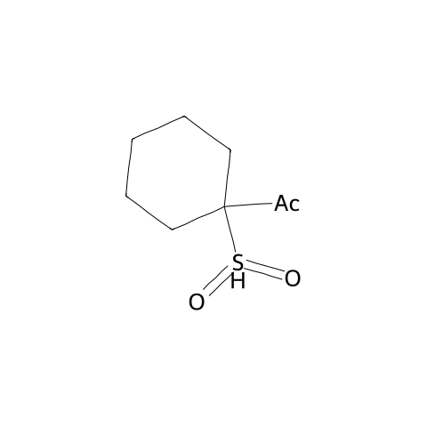 CC(=O)C1([SH](=O)=O)CCCCC1